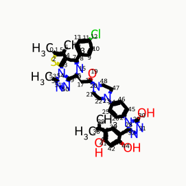 Cc1sc2c(c1C)C(c1ccc(Cl)cc1)=N[C@@H](CC(=O)N1CCN(c3ccc(-n4c(O)nnc4-c4cc(C(C)C)c(O)cc4O)cc3)CC1)c1nnc(C)n1-2